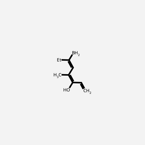 B/C(=C/C(C)=C(/O)C=C)CC